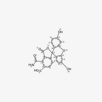 NC(=O)c1c(C(=O)O)ccc2c1C(=O)OC21c2ccc(O)cc2Oc2cc(O)ccc21